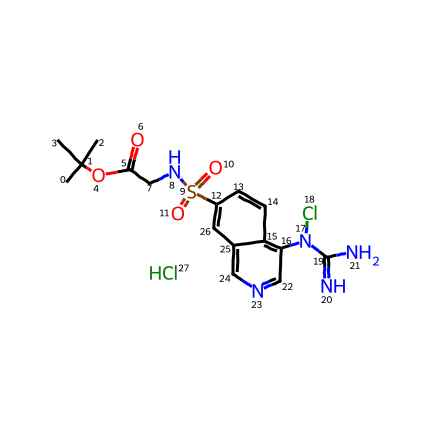 CC(C)(C)OC(=O)CNS(=O)(=O)c1ccc2c(N(Cl)C(=N)N)cncc2c1.Cl